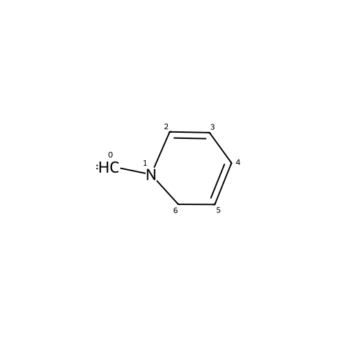 [CH]N1C=CC=CC1